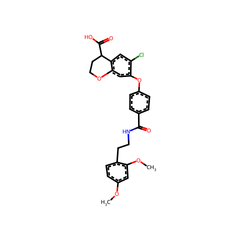 COc1ccc(CCNC(=O)c2ccc(Oc3cc4c(cc3Cl)C(C(=O)O)CCO4)cc2)c(OC)c1